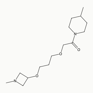 CC1CCN(C(=O)COCCCOC2CN(C)C2)CC1